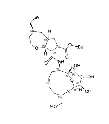 CC(C)C[C@@H]1CCO[C@@H]2[C@@H](C1)CN(C(=O)OC(C)(C)C)[C@@H]2C(=O)N[C@@H]1C/C=C\C[C@@H](CO)S[C@H]2O[C@H]1[C@H](O)[C@H](O)[C@H]2O